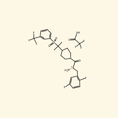 CC(C)(C1CCN(C(=O)[C@@H](N)Cc2cc(F)ccc2F)CC1)S(=O)(=O)c1cccc(C(F)(F)F)c1.O=C(O)C(F)(F)F